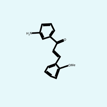 COc1ccccc1C=CC(=O)c1cccc(N)c1